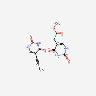 CC#Cc1c[nH]c(=O)[nH]c1=O.COC(=O)Cc1c[nH]c(=O)[nH]c1=O